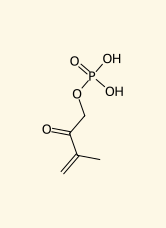 C=C(C)C(=O)COP(=O)(O)O